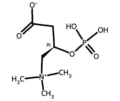 C[N+](C)(C)C[C@@H](CC(=O)[O-])OP(=O)(O)O